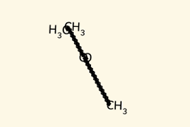 CCCCCCCCCCCCCCCCCCCCCCCCCCC(=O)OCCCCCCCCCCCCCCCC(C)C